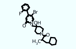 CC(CC1CCCCC1)C(=O)N1CCC(O)(Cn2cc(Br)c(-c3ccccc3F)cc2=O)CC1